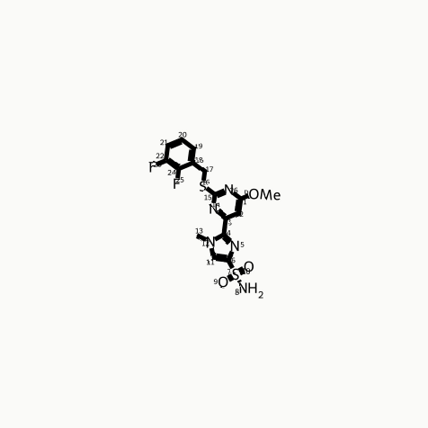 COc1cc(-c2nc(S(N)(=O)=O)cn2C)nc(SCc2cccc(F)c2F)n1